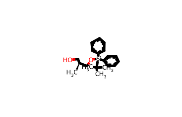 C[C@@H](CO)CO[Si](c1ccccc1)(c1ccccc1)C(C)(C)C